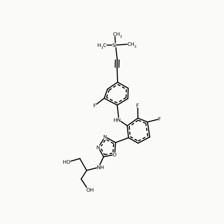 C[Si](C)(C)C#Cc1ccc(Nc2c(-c3nnc(NC(CO)CO)o3)ccc(F)c2F)c(F)c1